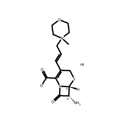 C[N+]1(CC=CC2=C(C(=O)[O-])N3C(=O)[C@@H](N)[C@H]3SC2)CCOCC1.I